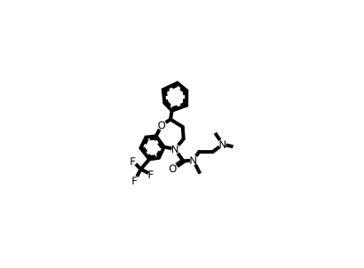 CN(C)CCN(C)C(=O)N1CCC(c2ccccc2)Oc2ccc(C(F)(F)F)cc21